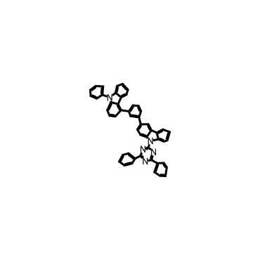 c1ccc(-c2nc(-c3ccccc3)nc(-n3c4ccccc4c4cc(-c5cccc(-c6cccc7c6c6ccccc6n7-c6ccccc6)c5)ccc43)n2)cc1